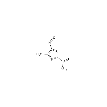 CC(=O)c1cc(N=O)c(C)s1